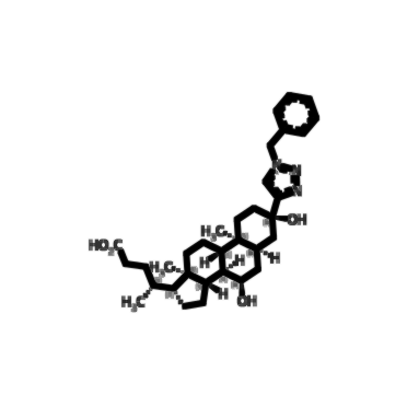 C[C@H](CCC(=O)O)[C@H]1CC[C@H]2[C@@H]3[C@H](O)C[C@@H]4C[C@@](O)(c5cn(Cc6ccccc6)nn5)CC[C@]4(C)[C@H]3CC[C@]12C